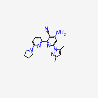 Cc1cc(C)n(-c2cc(N)c(C#N)c(-c3cccc(N4CCCC4)n3)n2)n1